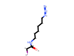 [N-]=[N+]=NCCCCCCNC(=O)CI